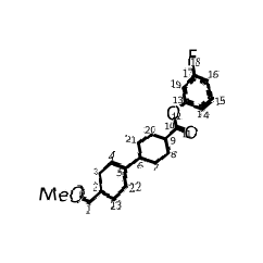 COCC1CCC(C2CCC(C(=O)Oc3cccc(F)c3)CC2)CC1